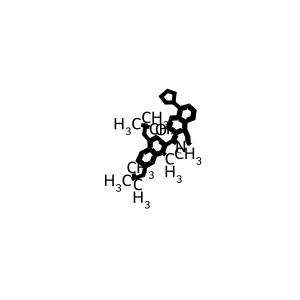 Cc1c2c(c(CC(C)(C)C)c3ccc(CC(C)(C)C)cc13)Oc1cc3c(C4CCCC4)cccc3c3cc[n+](C)c-2c13